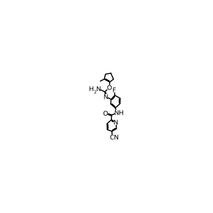 CC1=C(O/C(N)=N\c2cc(NC(=O)c3ccc(C#N)cn3)ccc2F)CCC1